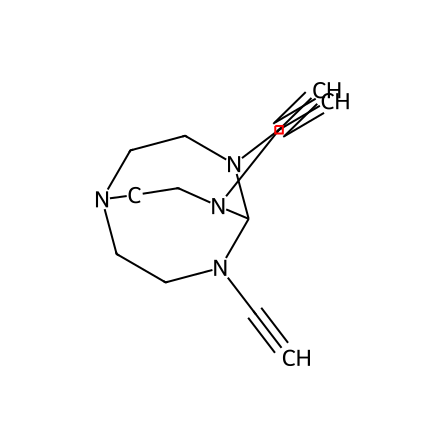 C#CN1CCN2CCN(C#C)C1N(C#C)CC2